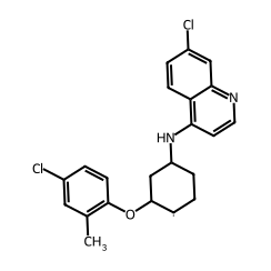 Cc1cc(Cl)ccc1OC1[CH]CCC(Nc2ccnc3cc(Cl)ccc23)C1